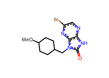 COC1CCC(Cn2c(=O)[nH]c3ncc(Br)nc32)CC1